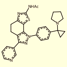 CC(=O)Nc1nc2c(s1)-c1c(c(-c3cccnc3)nn1-c1ccc(C3(N4CCCC4)CC3)cc1)CC2